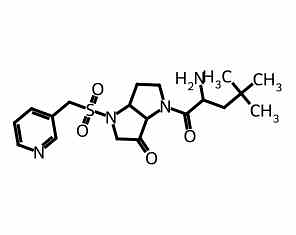 CC(C)(C)CC(N)C(=O)N1CCC2C1C(=O)CN2S(=O)(=O)Cc1cccnc1